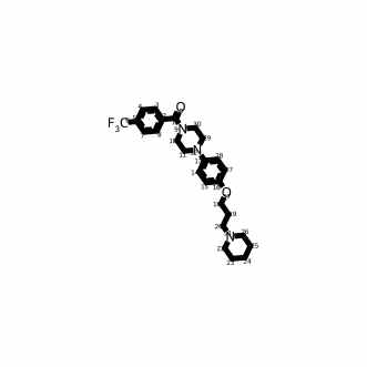 O=C(c1ccc(C(F)(F)F)cc1)N1CCN(c2ccc(OCCCN3CCCCC3)cc2)CC1